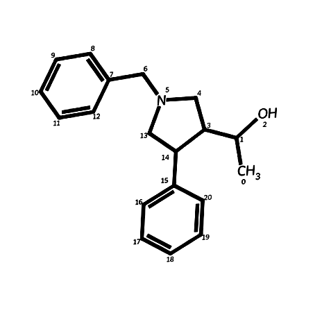 CC(O)C1CN(Cc2ccccc2)CC1c1ccccc1